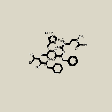 CCC(CC)C[C@H](O)[C@H](CC1CCCCC1)NC(=O)[C@H](Cc1c[nH]cn1)N(C)C(=O)[C@H](Cc1ccccc1)OC(=O)N(C)CCN(C)C(=O)C(C)C.Cl